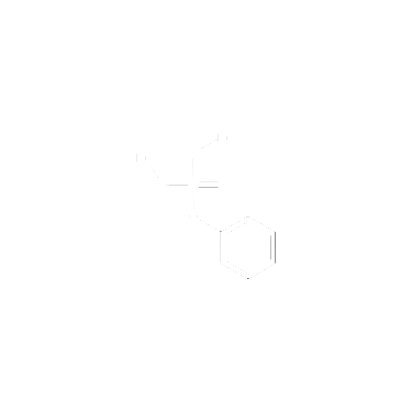 CCOP(=O)(Oc1ccccc1)SCC